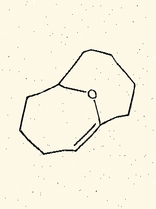 C1=C2CCCCC(CCC1)O2